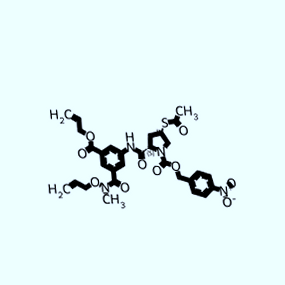 C=CCOC(=O)c1cc(NC(=O)[C@@H]2C[C@H](SC(C)=O)CN2C(=O)OCc2ccc([N+](=O)[O-])cc2)cc(C(=O)N(C)OCC=C)c1